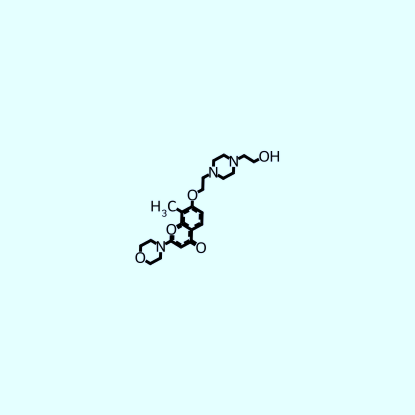 Cc1c(OCCN2CCN(CCO)CC2)ccc2c(=O)cc(N3CCOCC3)oc12